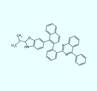 CC(C)C1Nc2ccc(-c3c(-c4ccccc4-c4nc(-c5ccccc5)c5ccccc5n4)ccc4ccccc34)cc2O1